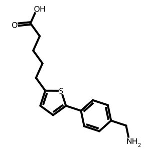 NCc1ccc(-c2ccc(CCCCC(=O)O)s2)cc1